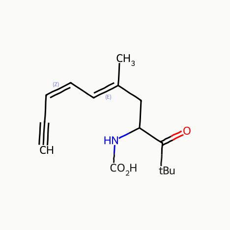 C#C/C=C\C=C(/C)CC(NC(=O)O)C(=O)C(C)(C)C